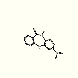 CN1C(=O)c2cccnc2Nc2cc([N+](=O)[O-])ccc21